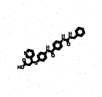 O=C(O)CC(Sc1ccc(NC(=O)c2ccc(NC(=O)NCc3ccccc3)cc2)cc1)c1cccnc1